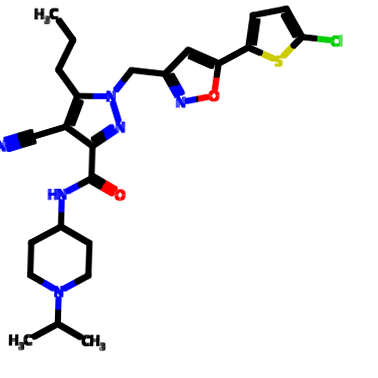 CCCc1c(C#N)c(C(=O)NC2CCN(C(C)C)CC2)nn1Cc1cc(-c2ccc(Cl)s2)on1